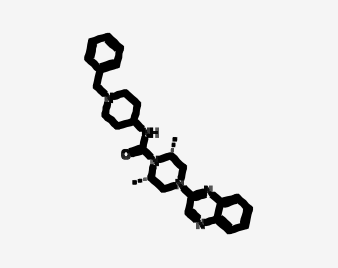 C[C@@H]1CN(c2cnc3ccccc3n2)C[C@H](C)N1C(=O)NC1CCN(Cc2ccccc2)CC1